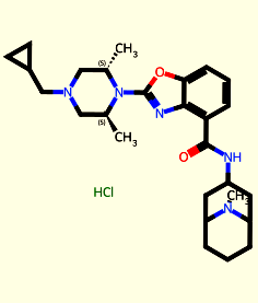 C[C@H]1CN(CC2CC2)C[C@H](C)N1c1nc2c(C(=O)NC3CC4CCCC(C3)N4C)cccc2o1.Cl